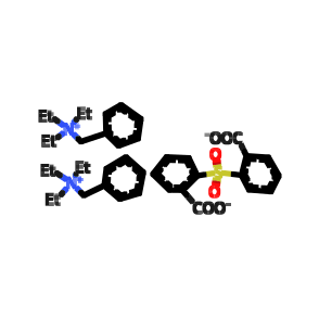 CC[N+](CC)(CC)Cc1ccccc1.CC[N+](CC)(CC)Cc1ccccc1.O=C([O-])c1ccccc1S(=O)(=O)c1ccccc1C(=O)[O-]